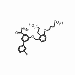 CNC(=O)c1cc(OCc2cccc(OCCCC(=O)O)c2CCC(=O)O)cc(-c2cccc(F)c2)c1